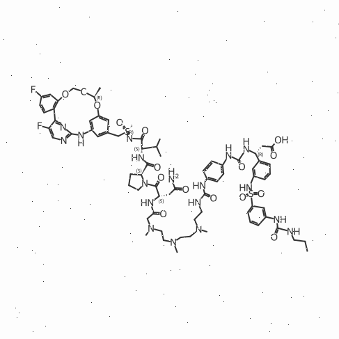 CCCNC(=O)Nc1cccc(S(=O)(=O)Nc2cccc([C@@H](CC(=O)O)NC(=O)Nc3ccc(NC(=O)NCCN(C)CCN(C)CCN(C)CC(=O)N[C@@H](CC(N)=O)C(=O)N4CCC[C@H]4C(=O)N[C@H](C(=O)N=[S@](C)(=O)Cc4cc5cc(c4)O[C@H](C)CCOc4cc(F)ccc4-c4nc(ncc4F)N5)C(C)C)cc3)c2)c1